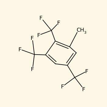 Cc1cc(C(F)(F)F)cc(C(F)(F)F)c1C(F)(F)F